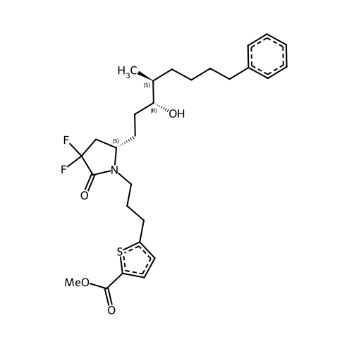 COC(=O)c1ccc(CCCN2C(=O)C(F)(F)C[C@@H]2CC[C@@H](O)[C@@H](C)CCCCc2ccccc2)s1